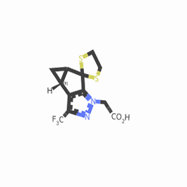 O=C(O)Cn1nc(C(F)(F)F)c2c1C1(SCCS1)C1C[C@@H]21